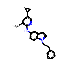 O=C(O)c1cc(C2CC2)cnc1Nc1ccc2c(ccn2CCc2ccccc2)c1